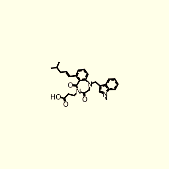 CC(C)CC=Cc1cccc2c1C(=O)N(CCC(=O)O)C(=O)CN2Cc1cn(C)c2ccccc12